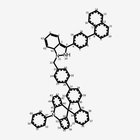 C1=CC2=C(c3ccc(-c4cccc5ccccc45)cc3)NN(Cc3ccc(-c4ccc5c(c4)C4(c6ccccc6-5)c5ccccc5N(c5ccccc5)c5ccccc54)cc3)C2C=C1